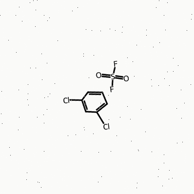 Clc1cccc(Cl)c1.O=S(=O)(F)F